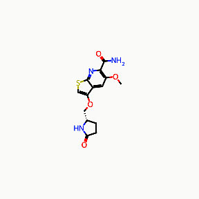 COc1cc2c(OC[C@@H]3CCC(=O)N3)csc2nc1C(N)=O